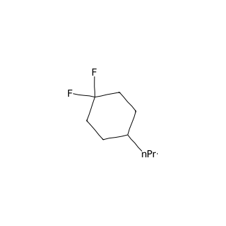 CC[CH]C1CCC(F)(F)CC1